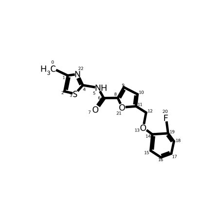 Cc1csc(NC(=O)c2ccc(COc3ccccc3F)o2)n1